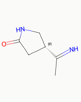 CC(=N)[C@H]1CNC(=O)C1